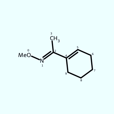 CON=C(C)C1=CCCCC1